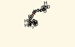 CS(=O)(=O)N1CCc2cccc(Nc3nc(Nc4ccc(N5CCC(N6CCN(CC7CCN(c8ccc9c(c8)C(=O)N(C8CCC(=O)NC8=O)C9=O)CC7)CC6)CC5)c(F)c4)nc4[nH]ccc34)c21